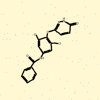 O=C(Nc1cc(Cl)c(Oc2ccc(=O)[nH]n2)c(Cl)c1)c1ccccc1